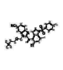 C=C(c1c(CC)cc(C)c2c1ccn2S(=O)(=O)c1ccc(C)cc1)c1nc2ccc(C#N)cc2n1COCC[Si](C)(C)C